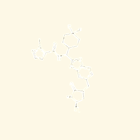 Cn1nccc1C(=O)N[C@H](c1nc2cc(CN3C[C@@H](C(F)(F)F)NC3=O)ccc2o1)C1CCC(F)(F)CC1